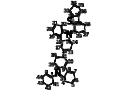 C1=C(n2c3ccccc3c3cc(-c4ccc5c(c4)c4ccccc4n5-c4cccc5c4sc4ccccc45)ccc32)CCCC1